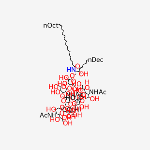 CCCCCCCC/C=C\CCCCCCCCCCCCCCCC(=O)N[C@@H](CO[C@@H]1OC(CO)[C@@H](O[C@@H]2OC(CO)[C@H](O)[C@H](O[C@@H]3OC(CO[C@]4(C(=O)O)CC(O)[C@@H](NC(C)=O)C([C@H](O)[C@H](O)CO)O4)[C@@H](O[C@H]4OC(C)[C@@H](O)C(O)[C@@H]4O)[C@H](O[C@@H]4OC(CO)[C@H](O)[C@H](O[C@]5(C(=O)O)CC(O)[C@@H](NC(C)=O)C([C@H](O)[C@H](O)CO)O5)C4O)C3NC(C)=O)C2O)[C@H](O)C1O)[C@H](O)/C=C/CCCCCCCCCCCCC